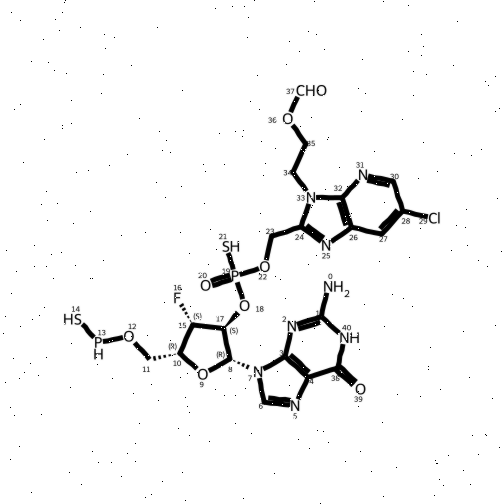 Nc1nc2c(ncn2[C@@H]2O[C@H](COPS)[C@H](F)[C@H]2OP(=O)(S)OCc2nc3cc(Cl)cnc3n2CCOC=O)c(=O)[nH]1